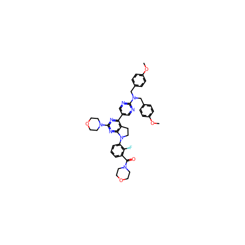 COc1ccc(CN(Cc2ccc(OC)cc2)c2ncc(-c3nc(N4CCOCC4)nc4c3CCN4c3cccc(C(=O)N4CCOCC4)c3F)cn2)cc1